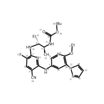 CCOc1ncc(Nc2nc(N[C@H](CC)[C@H](C)NC(=O)OC(C)(C)C)c(F)cc2C#N)cc1-n1cccn1